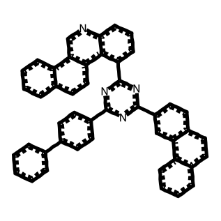 c1ccc(-c2ccc(-c3nc(-c4ccc5ccc6ccccc6c5c4)nc(-c4cccc5ncc6c7ccccc7ccc6c45)n3)cc2)cc1